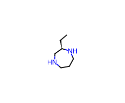 CC[C@@H]1CNCCCN1